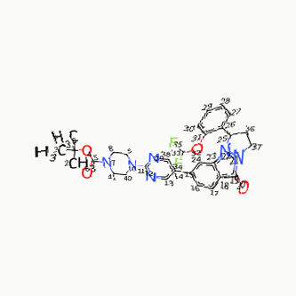 CC(C)(C)OC(=O)N1CCN(c2ncc(-c3ccc4c(=O)n5n(c4c3)C(c3ccccc3OC(F)F)CC5)cn2)CC1